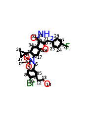 CS(=O)(=O)N(Cc1ccc(Br)c(CC=O)c1)c1cc2oc(Cc3ccc(F)cc3)c(C(N)=O)c2cc1C1CC1